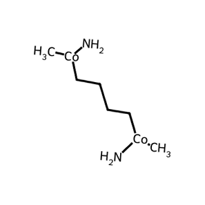 [CH3][Co]([NH2])[CH2]CC[CH2][Co]([CH3])[NH2]